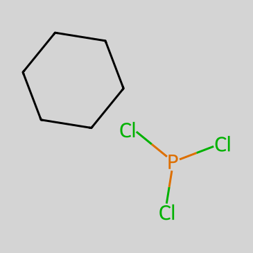 C1CCCCC1.ClP(Cl)Cl